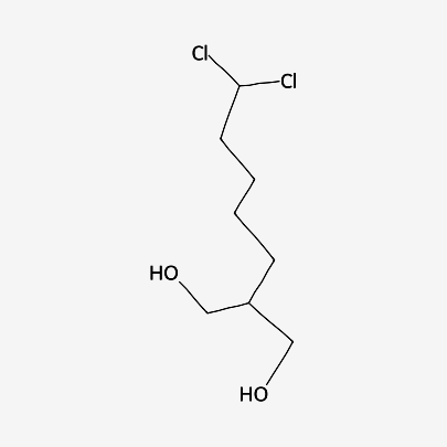 OCC(CO)CCCCC(Cl)Cl